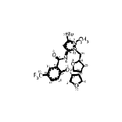 Cn1c(C(C)(C)C)cc(=NC(=O)c2cc(C(F)(F)F)ccc2O[C@@H]2CCOC2)n1C[C@H]1CCCO1